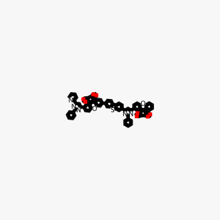 c1ccc(-c2nc(-c3ccc4c(c3)C3(c5ccccc5O4)c4ccccc4-c4ccccc43)cc(-c3ccc4c(c3)sc3cc(-c5ccc6c(c5)Oc5ccc(-c7cc(-c8ccccn8)nc(-c8ccccc8)n7)cc5C65c6ccccc6-c6ccccc65)ccc34)n2)cc1